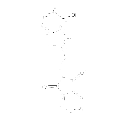 O=C1c2ccccc2C(=O)N1CCc1cc2c(O)ncnc2s1